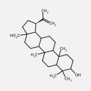 C=C(C)[C@@H]1CCC2(C(=O)O)CCC3C(CCC4C3(C)CCC3C(C)(C)C(O)CCC34C)C12